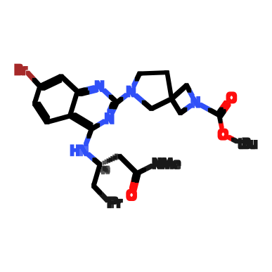 CNC(=O)C[C@H](CC(C)C)Nc1nc(N2CCC3(CN(C(=O)OC(C)(C)C)C3)C2)nc2cc(Br)ccc12